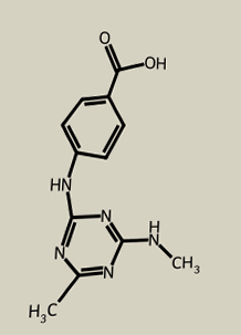 CNc1nc(C)nc(Nc2ccc(C(=O)O)cc2)n1